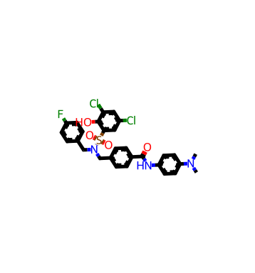 CN(C)c1ccc(NC(=O)c2ccc(CN(Cc3ccc(F)cc3)S(=O)(=O)c3cc(Cl)cc(Cl)c3O)cc2)cc1